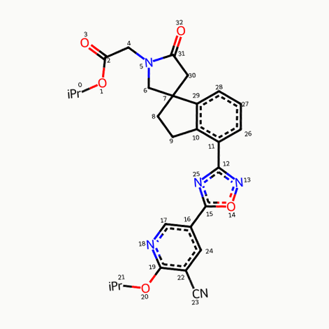 CC(C)OC(=O)CN1CC2(CCc3c(-c4noc(-c5cnc(OC(C)C)c(C#N)c5)n4)cccc32)CC1=O